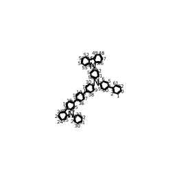 c1ccc(-c2ccc(N(c3ccc(-c4ccc(-c5ccc6c7ccccc7n(-c7ccccc7)c6c5)cc4)cc3)c3ccc(-n4c5ccccc5c5ccccc54)cc3)cc2)cc1